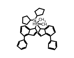 [CH3][Hf]([CH3])([CH]1C=Cc2c(-c3ccccc3)cccc21)([CH]1C=Cc2c(-c3ccccc3)cccc21)=[Si](C1CCCC1)C1CCCC1